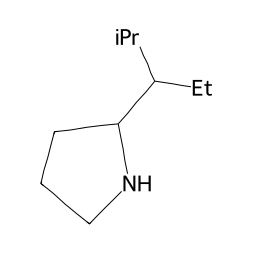 CCC(C(C)C)C1CCCN1